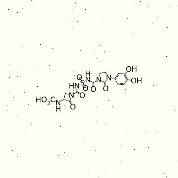 O=C(O)NC1CN(C(=O)NS(=O)(=O)NC(=O)N2CCN(c3ccc(O)c(O)c3)C2=O)C1=O